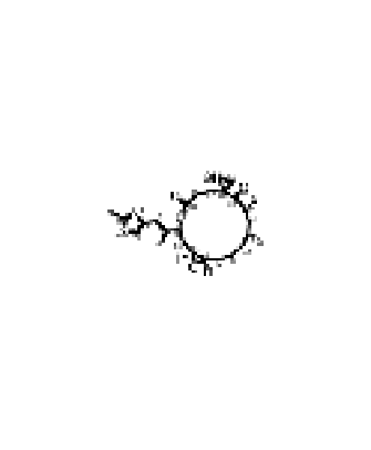 C/C(=C\c1csc(C)n1)[C@@H]1C[C@@H]2O[C@H]2CCC[C@H](C)C[C@H](C)C(=O)C2(CC2)[C@@H](O)CC(=O)O1